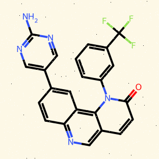 Nc1ncc(-c2ccc3ncc4ccc(=O)n(-c5cccc(C(F)(F)F)c5)c4c3c2)cn1